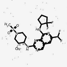 CS(=O)(=O)N1CC[C@@H](Nc2ncc3cc(C(F)F)nc(NC4CCCC4(F)F)c3n2)[C@H](O)C1